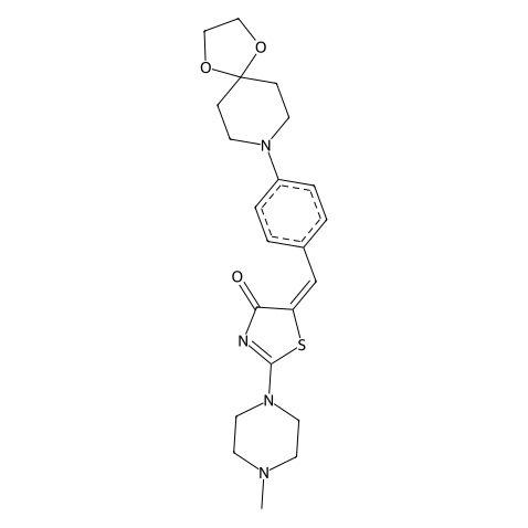 CN1CCN(C2=NC(=O)C(=Cc3ccc(N4CCC5(CC4)OCCO5)cc3)S2)CC1